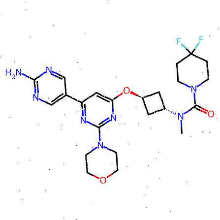 CN(C(=O)N1CCC(F)(F)CC1)[C@H]1C[C@H](Oc2cc(-c3cnc(N)nc3)nc(N3CCOCC3)n2)C1